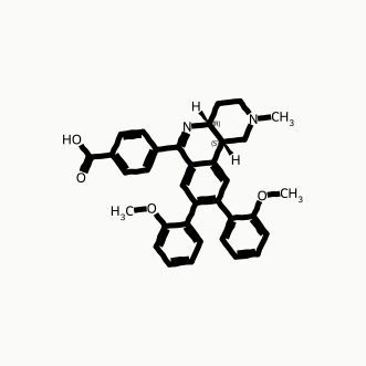 COc1ccccc1-c1cc2c(cc1-c1ccccc1OC)[C@H]1CN(C)CC[C@H]1N=C2c1ccc(C(=O)O)cc1